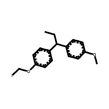 CCC(c1ccc(OC)cc1)c1ccc(OCI)cc1